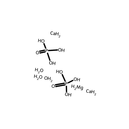 O.O.O.O=P(O)(O)O.O=P(O)(O)O.[CaH2].[CaH2].[MgH2]